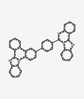 c1ccc2c(c1)nc(-c1ccc(-c3ccc4c(c3)c3ccccc3c3nc5ccccc5n43)cc1)n1c3ccccc3nc21